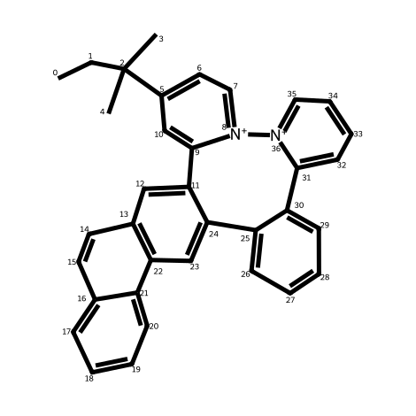 CCC(C)(C)c1cc[n+]2c(c1)-c1cc3ccc4ccccc4c3cc1-c1ccccc1-c1cccc[n+]1-2